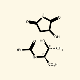 C[C@@H](O)[C@H](NC(=O)C(C)(C)C)C(=O)O.O=C1CC(O)C(=O)N1